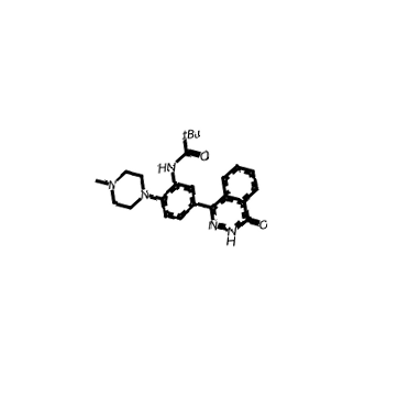 CN1CCN(c2ccc(-c3n[nH]c(=O)c4ccccc34)cc2NC(=O)C(C)(C)C)CC1